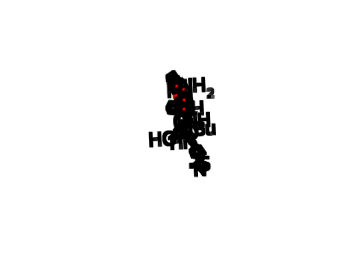 Cc1ncsc1-c1ccc(CNC(=O)[C@@H]2C[C@@H](O)CN2C(=O)[C@@H](NC(=O)[C@H](C)N2CCC(c3cnc(N4C5CCC4CN(c4cc(-c6ccccc6O)nnc4N)C5)nc3)CC2)C(C)(C)C)cc1